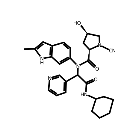 Cc1cc2ccc(N(C(=O)[C@H]3C[C@@H](O)CN3C#N)C(C(=O)NC3CCCCC3)c3cccnc3)cc2[nH]1